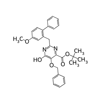 COc1ccc(-c2ccccc2)c(Cc2nc(O)c(OCc3ccccc3)c(C(=O)OC(C)(C)C)n2)c1